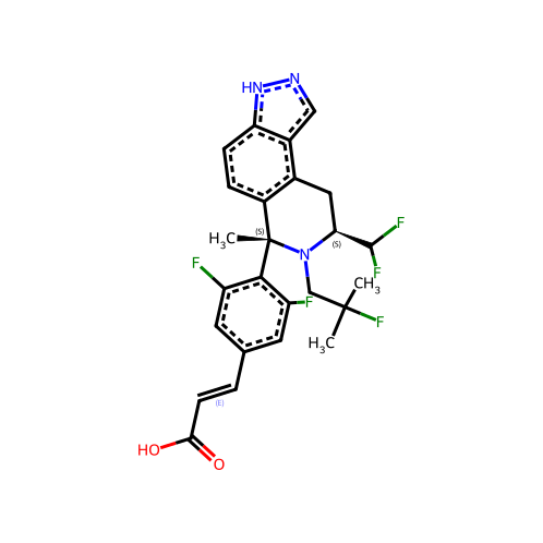 CC(C)(F)CN1[C@H](C(F)F)Cc2c(ccc3[nH]ncc23)[C@@]1(C)c1c(F)cc(/C=C/C(=O)O)cc1F